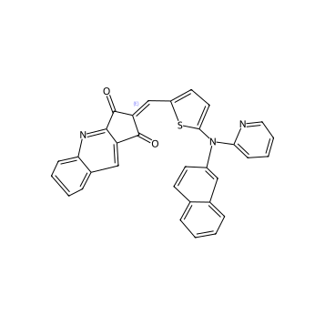 O=C1/C(=C\c2ccc(N(c3ccc4ccccc4c3)c3ccccn3)s2)C(=O)c2nc3ccccc3cc21